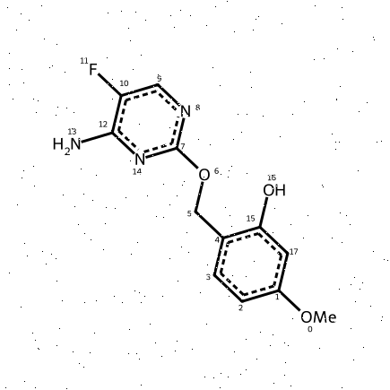 COc1ccc(COc2ncc(F)c(N)n2)c(O)c1